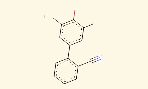 Cc1cc(-c2ccccc2C#N)cc(C)c1O